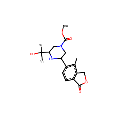 [2H]C([2H])(O)C1CN(C(=O)OC(C)(C)C)CC(c2ccc3c(c2C)COC3=O)N1